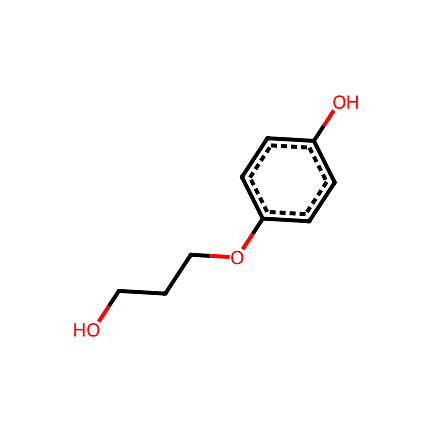 OCCCOc1ccc(O)cc1